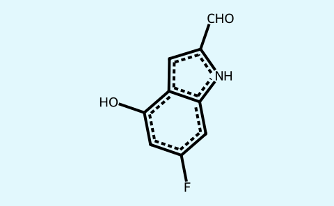 O=Cc1cc2c(O)cc(F)cc2[nH]1